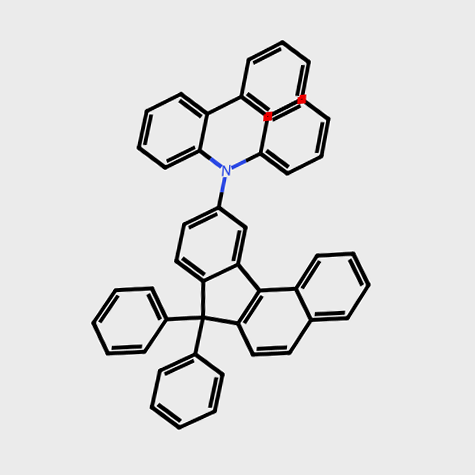 c1ccc(-c2ccccc2N(c2ccccc2)c2ccc3c(c2)-c2c(ccc4ccccc24)C3(c2ccccc2)c2ccccc2)cc1